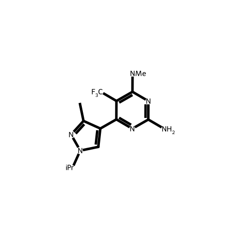 CNc1nc(N)nc(-c2cn(C(C)C)nc2C)c1C(F)(F)F